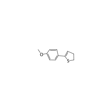 COc1ccc(C2=CCCS2)cc1